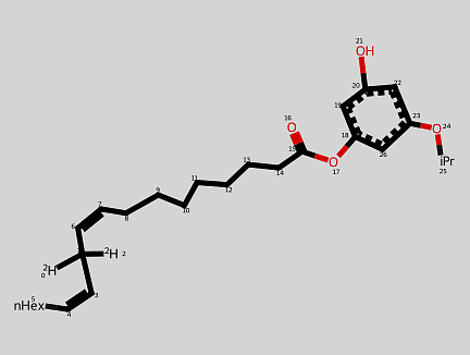 [2H]C([2H])(/C=C\CCCCCC)/C=C\CCCCCCCC(=O)Oc1cc(O)cc(OC(C)C)c1